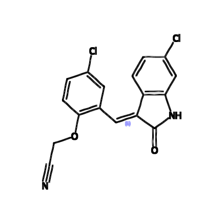 N#CCOc1ccc(Cl)cc1/C=C1/C(=O)Nc2cc(Cl)ccc21